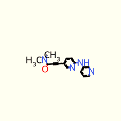 CN(C)C(=O)C#Cc1ccc(Nc2cccnc2)nc1